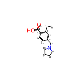 CCc1cc(CN2CCCC2)ccc1C(=O)O